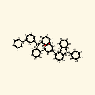 C1=CCC(c2cccc(N(c3ccccc3)c3ccccc3-c3cccc(-c4cccc5c4c4ccccc4n5-c4ccccc4)c3)c2)C=C1